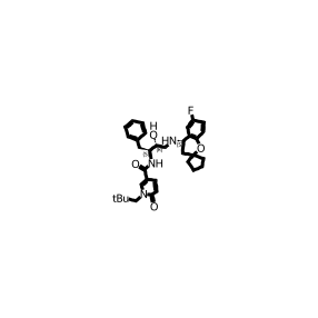 CC(C)(C)Cn1cc(C(=O)N[C@@H](Cc2ccccc2)[C@H](O)CN[C@H]2CC3(CCCC3)Oc3ccc(F)cc32)ccc1=O